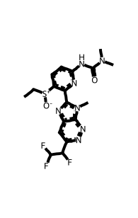 CC[S+]([O-])c1ccc(NC(=O)N(C)C)nc1-c1nc2cc(C(F)C(F)F)nnc2n1C